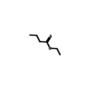 CCCC(=S)OCC